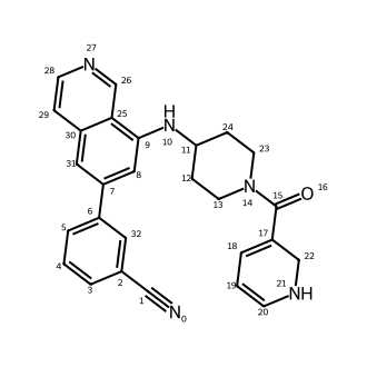 N#Cc1cccc(-c2cc(NC3CCN(C(=O)C4=CC=CNC4)CC3)c3cnccc3c2)c1